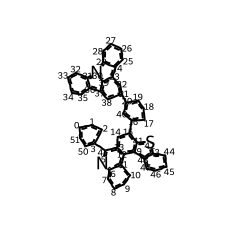 c1ccc(-c2nc3ccccc3c3c2cc(-c2cccc(-c4cc5c6ccccc6n6c7ccccc7c(c4)c56)c2)c2sc4ccccc4c23)cc1